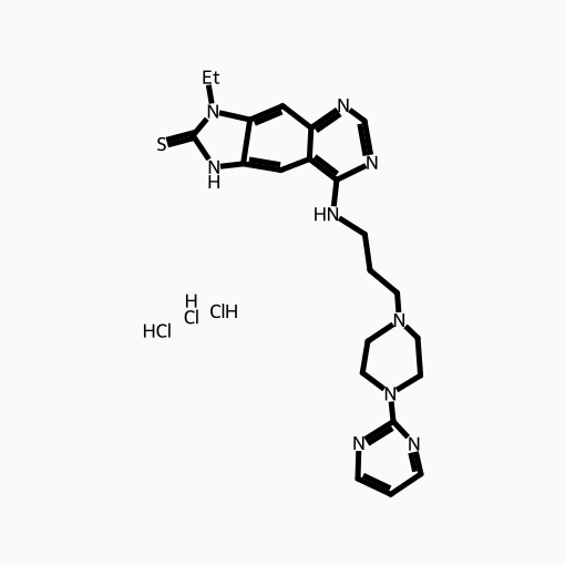 CCn1c(=S)[nH]c2cc3c(NCCCN4CCN(c5ncccn5)CC4)ncnc3cc21.Cl.Cl.Cl